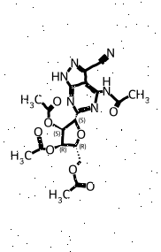 CC(=O)Nc1nc([C@@H]2O[C@H](COC(C)=O)[C@@H](OC(C)=O)[C@H]2OC(C)=O)nc2[nH]nc(C#N)c12